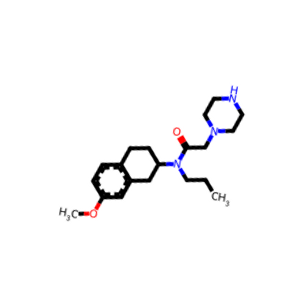 CCCN(C(=O)CN1CCNCC1)C1CCc2ccc(OC)cc2C1